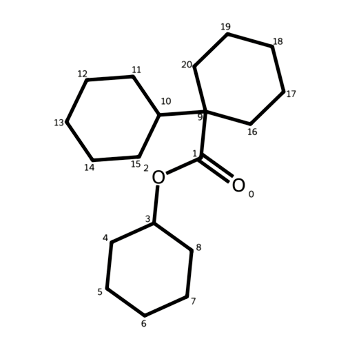 O=C(OC1CCCCC1)C1(C2CCCCC2)CCCCC1